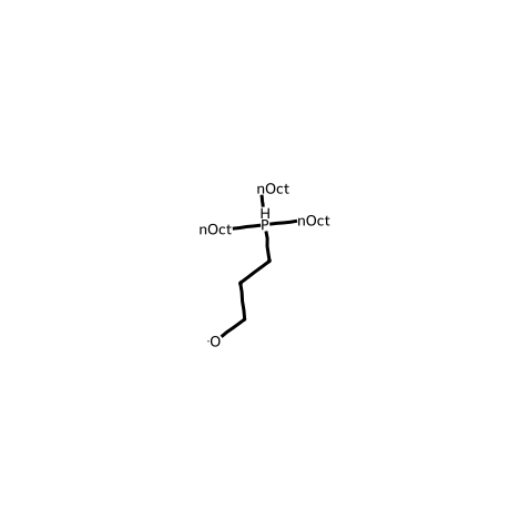 CCCCCCCC[PH](CCC[O])(CCCCCCCC)CCCCCCCC